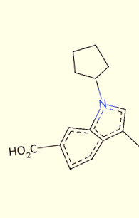 Cc1cn(C2CCCC2)c2cc(C(=O)O)ccc12